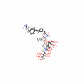 CCN(C(=O)CCc1ccc(-c2ccc(CCCCN)cc2)cc1)[C@@H](CCCCN(C[C@H](O)[C@@H](O)[C@H](O)[C@H](O)CO)C[C@H](O)[C@@H](O)[C@H](O)[C@H](O)CO)C(=O)OC